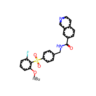 CCCCOc1cccc(F)c1S(=O)(=O)c1ccc(CNC(=O)c2ccc3ccncc3c2)cc1